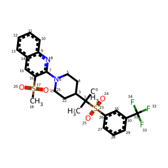 CC(C)(C1CCN(c2nc3ccccc3cc2S(C)(=O)=O)CC1)S(=O)(=O)c1cccc(C(F)(F)F)c1